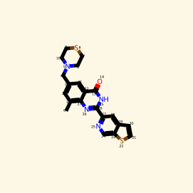 Cc1cc(CN2CCSCC2)cc2c(=O)[nH]c(-c3cc4ccsc4cn3)nc12